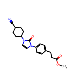 COC(=O)CCc1ccc(-n2ccn(C3CCC(C#N)CC3)c2=O)cc1